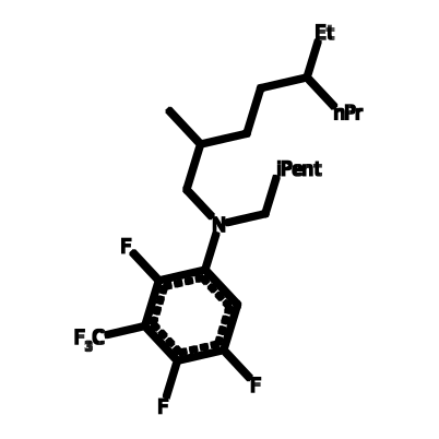 CCCC(C)CN(CC(C)CCC(CC)CCC)c1cc(F)c(F)c(C(F)(F)F)c1F